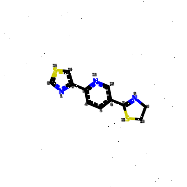 c1nc(-c2ccc(C3=NCCS3)cn2)cs1